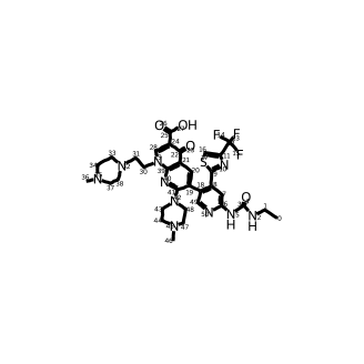 CCNC(=O)Nc1cc(-c2nc(C(F)(F)F)cs2)c(-c2cc3c(=O)c(C(=O)O)cn(CCN4CCN(C)CC4)c3nc2N2CCN(C)CC2)cn1